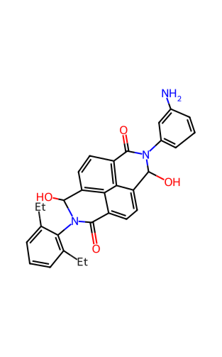 CCc1cccc(CC)c1N1C(=O)c2ccc3c4c(ccc(c24)C1O)C(=O)N(c1cccc(N)c1)C3O